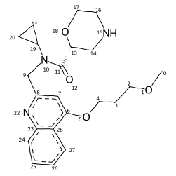 COCCCOc1cc(CN(C(=O)[C@H]2CNCCO2)C2CC2)nc2ccccc12